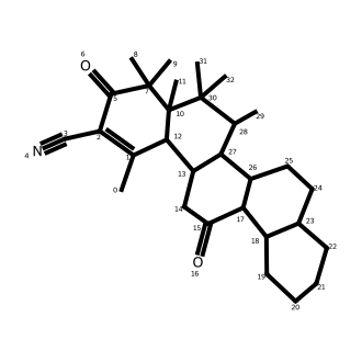 CC1=C(C#N)C(=O)C(C)(C)C2(C)C1C1CC(=O)C3C4CCCCC4CCC3C1C(C)C2(C)C